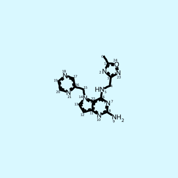 Cc1nc(CNc2nc(N)nc3ccn(Cc4cnccn4)c23)no1